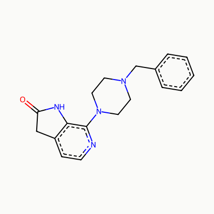 O=C1Cc2ccnc(N3CCN(Cc4ccccc4)CC3)c2N1